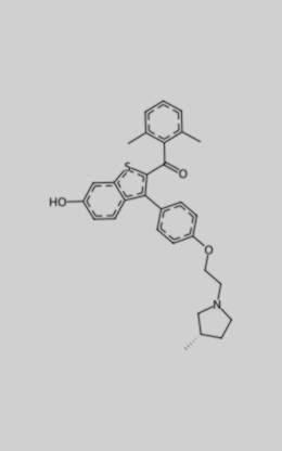 Cc1cccc(C)c1C(=O)c1sc2cc(O)ccc2c1-c1ccc(OCCN2CC[C@H](C)C2)cc1